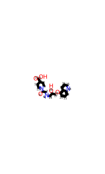 CN(CC(=O)N1CCC(C(=O)O)CC1)C[C@@H](O)COc1cccc2ncccc12